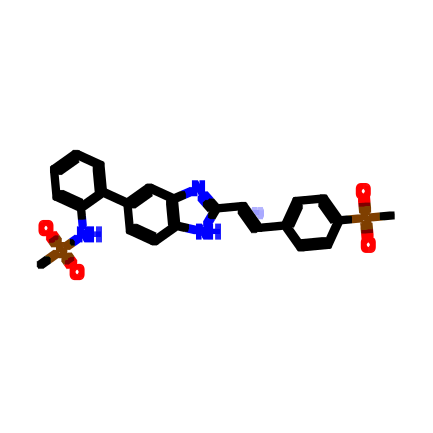 CS(=O)(=O)Nc1ccccc1-c1ccc2[nH]c(/C=C/c3ccc(S(C)(=O)=O)cc3)nc2c1